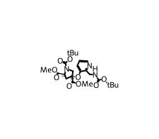 COC(=O)[C@@H]1C[C@](Oc2cccnc2CNC(=O)OC(C)(C)C)(C(=O)OC)CN1C(=O)OC(C)(C)C